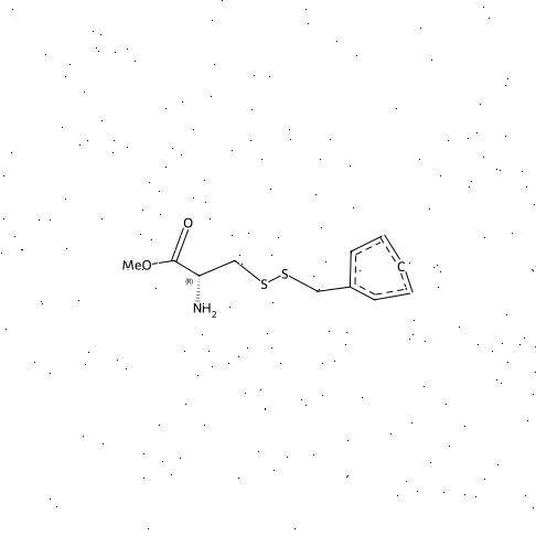 COC(=O)[C@@H](N)CSSCc1ccccc1